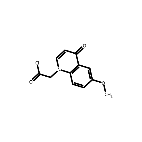 COc1ccc2c(c1)c(=O)ccn2CC(=O)Cl